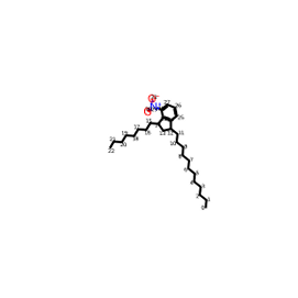 CCCCCCCCCCCCC1CC(CCCCCCCC)c2c1cccc2[N+](=O)[O-]